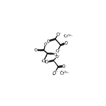 O=C([O-])C(=O)[O-].O=C([O-])C(=O)[O-].O=C([O-])C(=O)[O-].[Cr+3].[Cr+3]